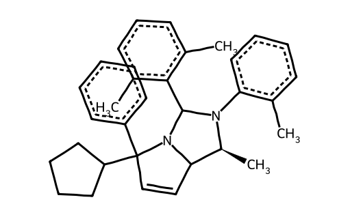 Cc1ccccc1N1C(c2c(C)cccc2C)N2C(C=CC2(c2ccccc2)C2CCCC2)[C@@H]1C